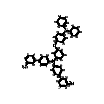 [3H]c1cccc(-c2ccc(N(c3ccc(-c4cccc([3H])c4)cc3)c3cccc(Oc4ccc(N(c5ccccc5)c5ccccc5)cc4)c3)cc2)c1